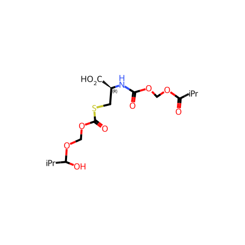 CC(C)C(=O)OCOC(=O)N[C@@H](CSC(=O)OCOC(O)C(C)C)C(=O)O